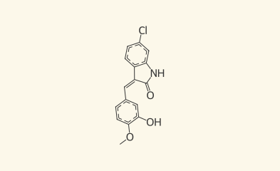 COc1ccc(C=C2C(=O)Nc3cc(Cl)ccc32)cc1O